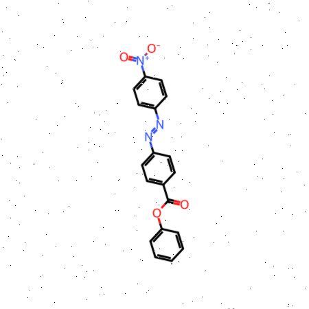 O=C(Oc1cc[c]cc1)c1ccc(N=Nc2ccc([N+](=O)[O-])cc2)cc1